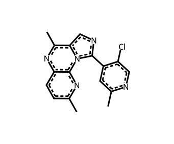 Cc1cc(-c2ncc3c(C)nc4ccc(C)nc4n23)c(Cl)cn1